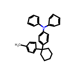 Cc1ccc(C2(c3ccc(N(c4ccccc4)c4ccccc4)cc3)CCCCC2)cc1